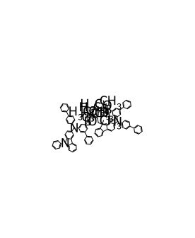 CC1(CCC2(C)OB(c3cc(-c4ccccc4)cc(N(c4ccc(-c5ccccc5)cc4)c4ccc5c(c4)c4ccccc4n5-c4ccccc4)c3)OC2(C)C)c2ccccc2-c2ccc(N(c3ccc(-c4ccccc4)cc3)c3cc(B4OC(C)(C)C(C)(C)O4)cc(-c4ccccc4)c3)cc21